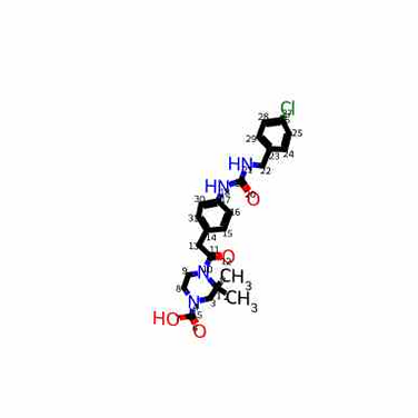 CC1(C)CN(C(=O)O)CCN1C(=O)Cc1ccc(NC(=O)NCc2ccc(Cl)cc2)cc1